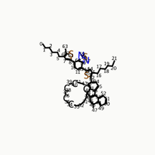 CCCCCCc1cc(-c2ccc(-c3cc(CCCCCC)c(-c4ccc5c(c4)C4(CCCCCCCCCCCCCC4)c4cc(C)c6ccccc6c4-5)s3)c3nsnc23)sc1C